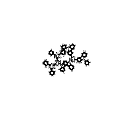 c1ccc(-c2nc(-c3ccccc3)nc(-c3nc(-c4nc(-c5ccccc5)nc(-c5ccccc5)n4)nc(-n4c5ccccc5c5c6c7ccccc7n(-c7nc(-c8ccc9c(c8)c8ccccc8n9-c8ccccc8)nc(-c8ccc9c(c8)c8ccccc8n9-c8ccccc8)n7)c6ccc54)n3)n2)cc1